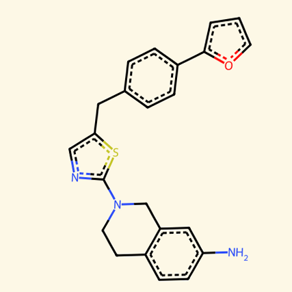 Nc1ccc2c(c1)CN(c1ncc(Cc3ccc(-c4ccco4)cc3)s1)CC2